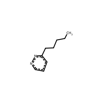 CCCCCc1cccnn1